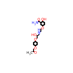 CC(=O)COc1ccc(OCC(O)CNCCOc2ccc(O)c(C(N)=O)c2)cc1